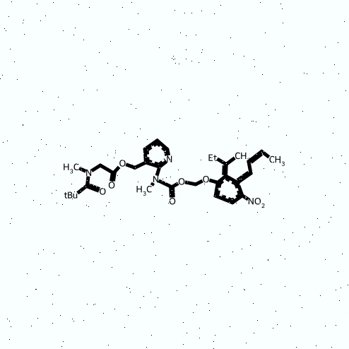 C\C=C/C=c1/c([N+](=O)[O-])ccc(OCOC(=O)N(C)c2ncccc2COC(=O)CN(C)C(=O)C(C)(C)C)/c1=C(/C)CC